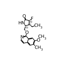 CC[C@@H]1[C@H](F)C(=O)N[C@@H]1COc1nccc2cc(C)c(OC)cc12